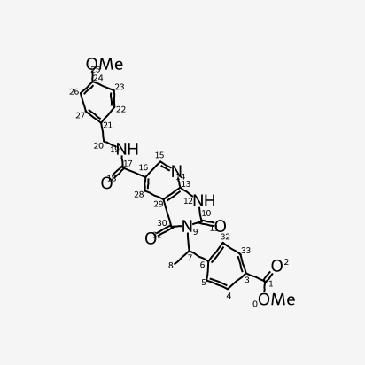 COC(=O)c1ccc(C(C)n2c(=O)[nH]c3ncc(C(=O)NCc4ccc(OC)cc4)cc3c2=O)cc1